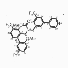 COC(=O)N(Cc1cc(-c2ccncc2)cc(C(F)(F)F)c1)Cc1cc(C(F)(F)F)ccc1-c1cc(C(C)C)ccc1OC